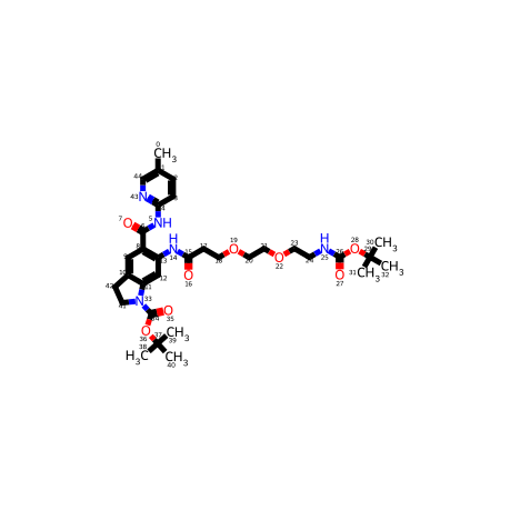 Cc1ccc(NC(=O)c2cc3c(cc2NC(=O)CCOCCOCCNC(=O)OC(C)(C)C)N(C(=O)OC(C)(C)C)CC3)nc1